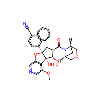 COc1cncc2c1[C@]1(O)[C@H](O)[C@H](C(=O)N3[C@@H]4COC[C@H]3C4)[C@@H](c3ccccc3)[C@]1(c1ccc(C#N)cc1)O2